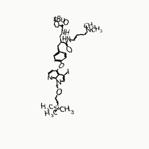 CN(C)CCCNC(=O)C(CNC(=O)OC(C)(C)C)Cc1ccc(Oc2ccnc3c2c(I)cn3COCC[Si](C)(C)C)cc1